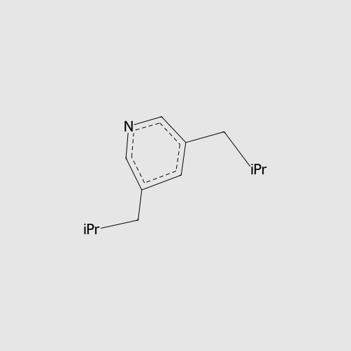 CC(C)Cc1cncc(CC(C)C)c1